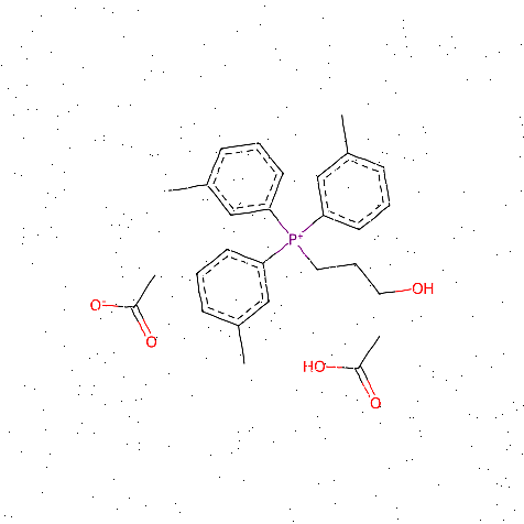 CC(=O)O.CC(=O)[O-].Cc1cccc([P+](CCCO)(c2cccc(C)c2)c2cccc(C)c2)c1